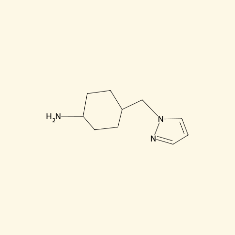 NC1CCC(Cn2cccn2)CC1